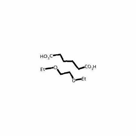 CCOCCOCC.O=C(O)CCCCC(=O)O